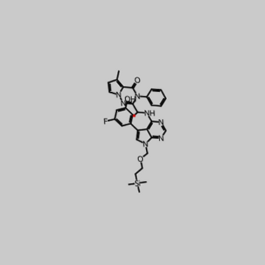 Cc1ccn2nc(C(C)Nc3ncnc4c3c(-c3cc(O)cc(F)c3)cn4COCC[Si](C)(C)C)n(-c3ccccc3)c(=O)c12